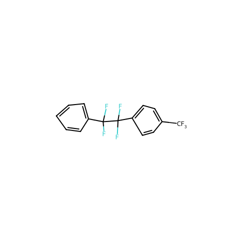 FC(F)(F)c1ccc(C(F)(F)C(F)(F)c2ccccc2)cc1